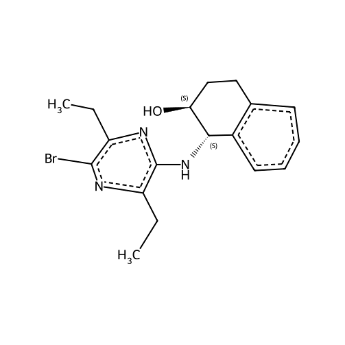 CCc1nc(N[C@H]2c3ccccc3CC[C@@H]2O)c(CC)nc1Br